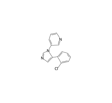 Clc1ccccc1-c1cncn1-c1cccnc1